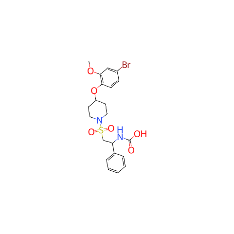 COc1cc(Br)ccc1OC1CCN(S(=O)(=O)CC(NC(=O)O)c2ccccc2)CC1